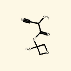 CC(C#N)C(=O)OC1(C)COC1